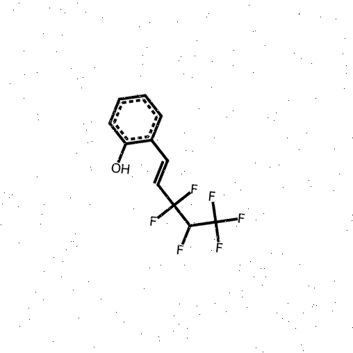 Oc1ccccc1C=CC(F)(F)C(F)C(F)(F)F